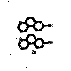 Sc1ccc2c(ccc3ncccc32)c1.Sc1ccc2c(ccc3ncccc32)c1.[Zn]